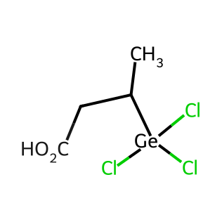 C[CH](CC(=O)O)[Ge]([Cl])([Cl])[Cl]